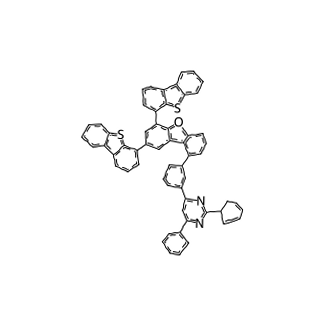 C1=CCC(c2nc(-c3ccccc3)cc(-c3cccc(-c4cccc5oc6c(-c7cccc8c7sc7ccccc78)cc(-c7cccc8c7sc7ccccc78)cc6c45)c3)n2)C=C1